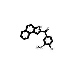 COc1cc(C(=O)c2cc3c(ccc4ccccc43)[nH]2)ccc1O